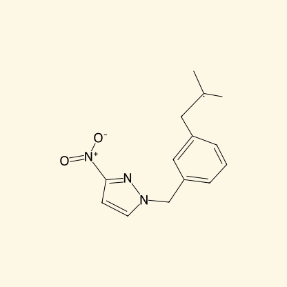 C[C](C)Cc1cccc(Cn2ccc([N+](=O)[O-])n2)c1